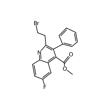 COC(=O)c1c(-c2ccccc2)c(CCBr)nc2ccc(F)cc12